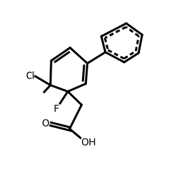 CC1(Cl)C=CC(c2ccccc2)=CC1(F)CC(=O)O